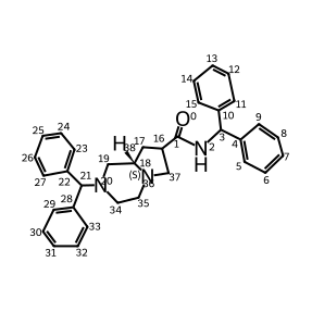 O=C(NC(c1ccccc1)c1ccccc1)C1C[C@H]2CN(C(c3ccccc3)c3ccccc3)CCN2C1